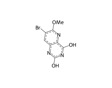 COc1nc2c(O)nc(O)nc2cc1Br